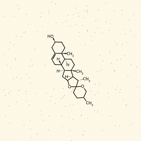 CC1CCC2(OC1)OC1C[C@H]3[C@@H]4CC=C5C[C@@H](O)CC[C@]5(C)[C@H]4CC[C@]3(C)[C@H]1[C@@H]2C